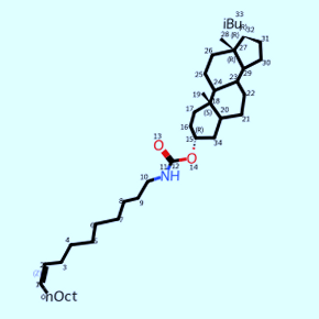 CCCCCCCC/C=C\CCCCCCCCNC(=O)O[C@@H]1CC[C@@]2(C)C(CCC3C2CC[C@@]2(C)C3CC[C@@H]2[C@H](C)CC)C1